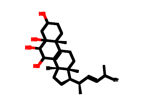 CC(C)C(C)C=C[C@@H](C)[C@H]1CC[C@H]2C3=C(CC[C@]12C)[C@@]1(C)CCC(O)CC1(O)C(O)C3O